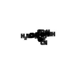 CC(C)(O)C(F)(F)c1ccc(-c2c(C(=O)O)cc(N3CCC(N)CC3)nc2-c2ccc(C#N)c(F)c2)c(F)c1